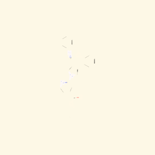 CCOC(=O)c1ccnc(-n2cc(C#N)c(-c3ccccc3OCc3ccccc3)c2)c1